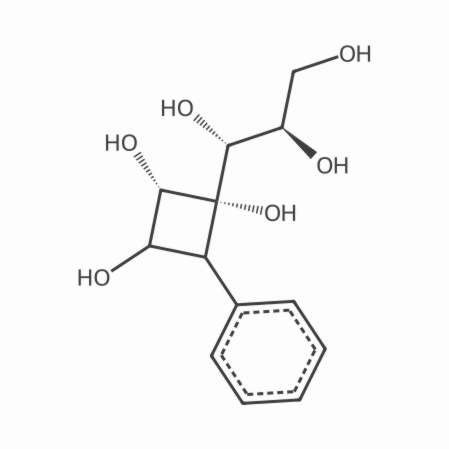 OC[C@@H](O)[C@@H](O)[C@@]1(O)C(c2ccccc2)C(O)[C@@H]1O